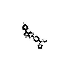 CCOC(C1CCN(c2ncc3c(-c4ccc(F)cc4)csc3n2)CC1)N1CCCC1